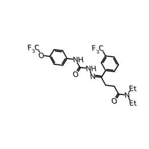 CCN(CC)C(=O)CCC(=NNC(=O)Nc1ccc(OC(F)(F)F)cc1)c1cccc(C(F)(F)F)c1